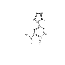 FC(F)c1cc(-n2c[c]nn2)ccc1Cl